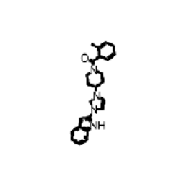 CC1=CCC=CC1C(=O)N1CCC(N2C=CN(c3cc4ccccc4[nH]3)C2)CC1